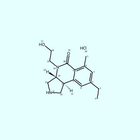 CCc1cc(C)c2c(c1)[C@H]1CNC[C@@H]1N(CCO)C2=O.Cl